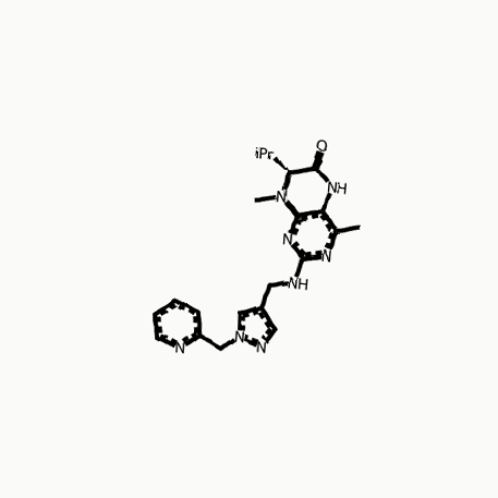 Cc1nc(NCc2cnn(Cc3ccccn3)c2)nc2c1NC(=O)[C@H](C(C)C)N2C